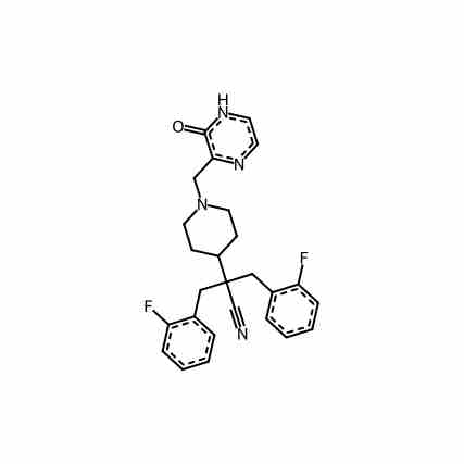 N#CC(Cc1ccccc1F)(Cc1ccccc1F)C1CCN(Cc2ncc[nH]c2=O)CC1